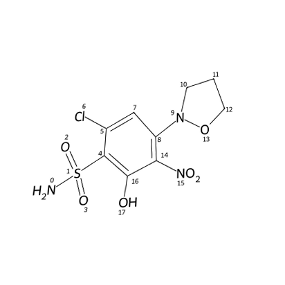 NS(=O)(=O)c1c(Cl)cc(N2CCCO2)c([N+](=O)[O-])c1O